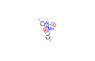 O=C(Cc1cccc(F)c1)Nn1c(C2CCOC2)nc2cc(F)ccc2c1=O